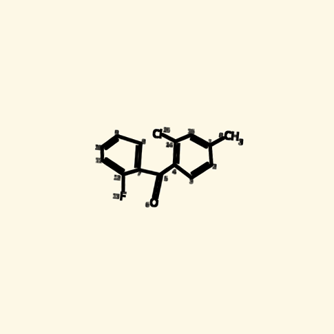 Cc1ccc(C(=O)c2ccccc2F)c(Cl)c1